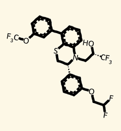 O[C@@H](CN1c2cccc(-c3cccc(OC(F)(F)F)c3)c2SC[C@H]1c1cccc(OCC(F)F)c1)C(F)(F)F